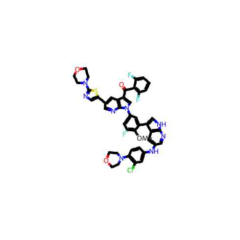 COc1c(F)cc(-n2cc(C(=O)c3c(F)cccc3F)c3cc(-c4cnc(N5CCOCC5)s4)cnc32)cc1-c1c[nH]c2ncc(Nc3ccc(N4CCOCC4)c(Cl)c3)cc12